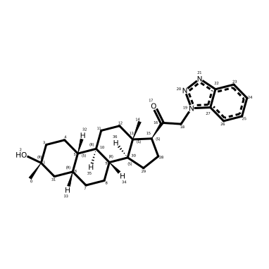 C[C@@]1(O)CC[C@H]2[C@H](CC[C@@H]3[C@@H]2CC[C@]2(C)[C@@H](C(=O)Cn4nnc5ccccc54)CC[C@@H]32)C1